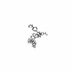 Cn1cc(-c2ccc(Cl)cc2)c(Oc2ccc(S(=O)(=O)Nc3ncns3)cc2C#N)n1